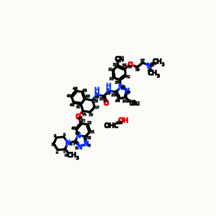 C[C@H]1CCCCN1c1nnc2ccc(O[C@@H]3CC[C@H](NC(=O)Nc4cc(C(C)(C)C)nn4-c4ccc(C#N)c(OCCN(C)C)c4)c4ccccc43)cn12.O=CO